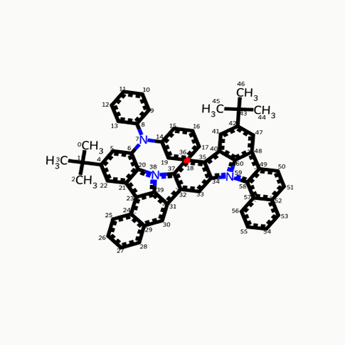 CC(C)(C)c1cc(N(c2ccccc2)c2ccccc2)c2c(c1)c1c3ccccc3cc3c4cc5c(cc4n2c31)c1cc(C(C)(C)C)cc2c3ccc4ccccc4c3n5c12